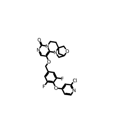 O=c1ncc(OCc2cc(F)c(Oc3ccnc(Cl)c3)c(F)c2)c2n1CCC13COC(CN21)C3